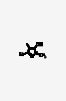 CCc1nn(C(F)(F)F)c(O)c1C